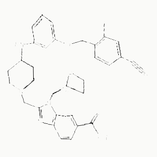 N#Cc1ccc(COc2cccc(NC3CCN(Cc4nc5ccc(C(=O)O)cc5n4C[C@@H]4CCO4)CC3)c2)c(F)c1